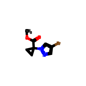 COC(=O)C1(n2cc(Br)cn2)CC1